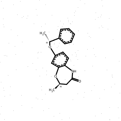 C[C@@H]1CC(=O)Nc2ccc(O[C@H](C)c3ccccc3)cc2O1